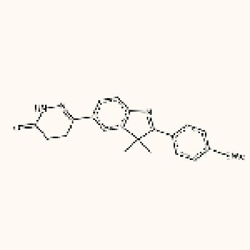 CSc1ccc(C2=Nc3ccc(C4=NNC(=O)CC4)cc3C2(C)C)cc1